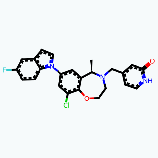 C[C@@H]1c2cc(-n3ccc4cc(F)ccc43)cc(Cl)c2OCCN1Cc1cc[nH]c(=O)c1